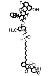 C#Cc1c(F)ccc2cc(O)cc(-c3ncc4c(N5CC6CCC(C5)N6)nc(OC[C@@]56CC[C@@H](COC(=O)NCCCCCCCCCc7cccc8c7C(=O)N(C7CCC(=O)NC7=O)C8=O)N5CC(=C)C6)nc4c3F)c12